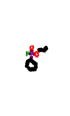 C=CCOP(=O)(F)c1ccccc1